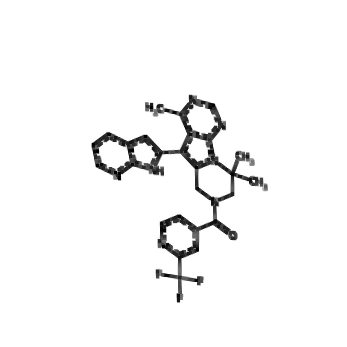 Cc1ncnc2c1c(-c1cc3cccnc3[nH]1)c1n2C(C)(C)CN(C(=O)c2ccnc(C(F)(F)F)c2)C1